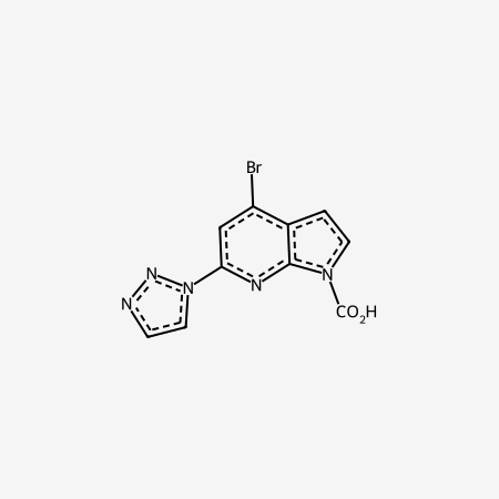 O=C(O)n1ccc2c(Br)cc(-n3ccnn3)nc21